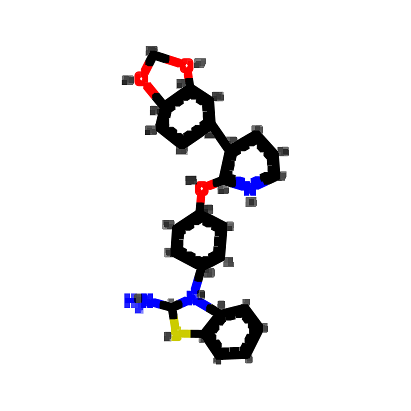 NC1Sc2ccccc2N1c1ccc(Oc2ncccc2-c2ccc3c(c2)OCO3)cc1